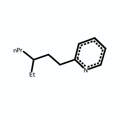 CCCC(CC)CCc1ccccn1